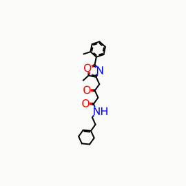 Cc1ccccc1-c1nc(CC(=O)CC(=O)NCCC2=CCCCC2)c(C)o1